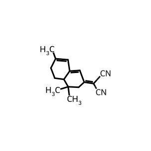 CC1=CC2=CC(=C(C#N)C#N)CC(C)(C)C2CC1